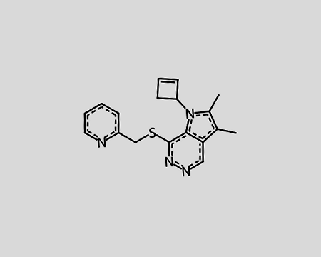 Cc1c(C)n(C2C=CC2)c2c(SCc3ccccn3)nncc12